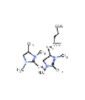 CC1=[N+](C)C(C)CN1C.CC1=[N+](C)C(C)CN1C.O=C([O-])CCC(=O)[O-]